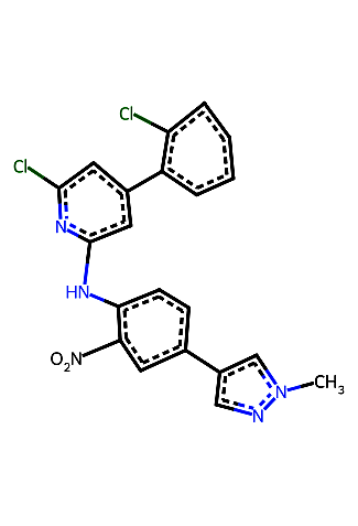 Cn1cc(-c2ccc(Nc3cc(-c4ccccc4Cl)cc(Cl)n3)c([N+](=O)[O-])c2)cn1